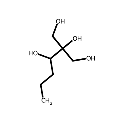 CCCC(O)C(O)(CO)CO